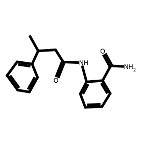 CC(CC(=O)Nc1ccccc1C(N)=O)c1ccccc1